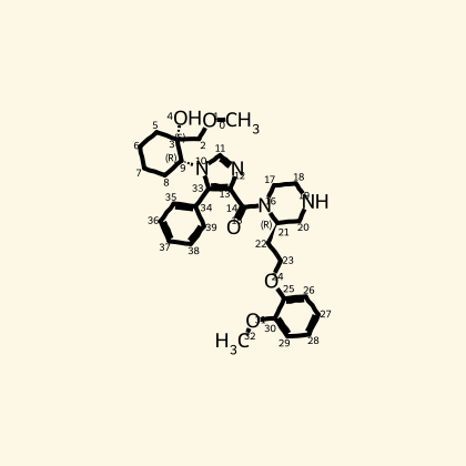 COC[C@]1(O)CCCC[C@H]1n1cnc(C(=O)N2CCNC[C@H]2CCOc2ccccc2OC)c1-c1ccccc1